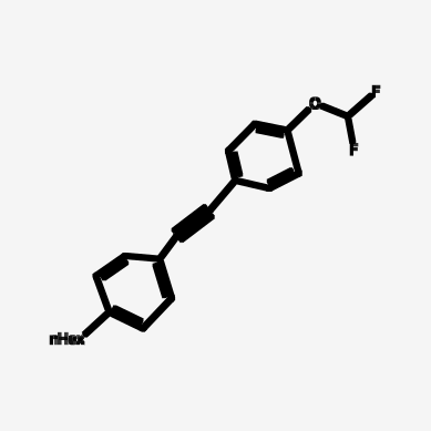 CCCCCCc1ccc(C#Cc2ccc(OC(F)F)cc2)cc1